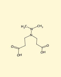 CN(C)N(CCC(=O)O)CCC(=O)O